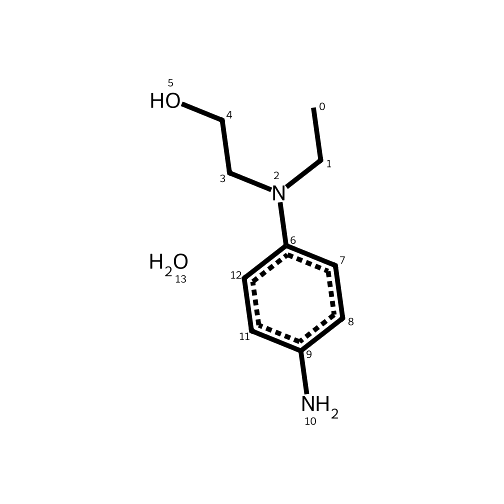 CCN(CCO)c1ccc(N)cc1.O